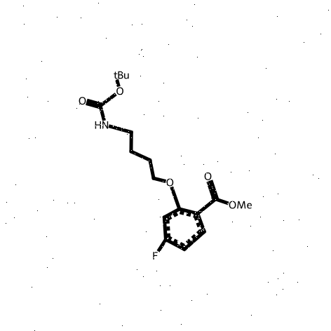 COC(=O)c1ccc(F)cc1OCCCCNC(=O)OC(C)(C)C